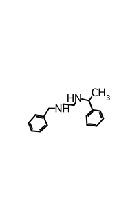 CC(NCCNCc1ccccc1)c1ccccc1